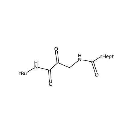 CCCCCCCC(=O)NCC(=O)C(=O)NC(C)(C)C